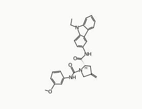 C=C1C[C@@H](C(=O)Nc2ccc3c(c2)c2ccccc2n3CC)N(C(=O)Nc2cccc(OC)c2)C1